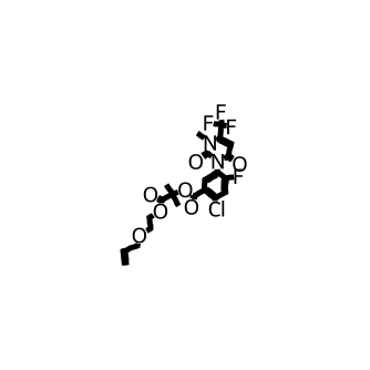 C=CCOCCOC(=O)C(C)(C)OC(=O)c1cc(-n2c(=O)cc(C(F)(F)F)n(C)c2=O)c(F)cc1Cl